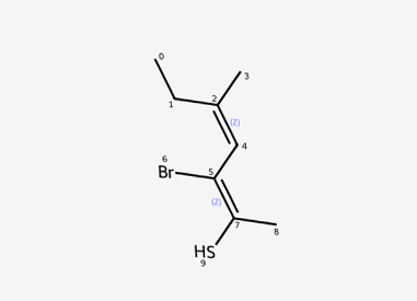 CC/C(C)=C\C(Br)=C(/C)S